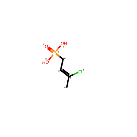 C/C(Cl)=C/CP(=O)(O)O